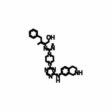 C=N/C(=N\C(CO)=C(/C)Cc1ccccc1)N1CCN(c2ncnc(Nc3ccc4c(c3)CNCC4)n2)CC1